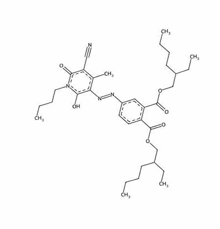 CCCCC(CC)COC(=O)c1ccc(/N=N/c2c(C)c(C#N)c(=O)n(CCCC)c2O)cc1C(=O)OCC(CC)CCCC